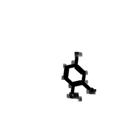 Cc1c[c]c(F)cc1Br